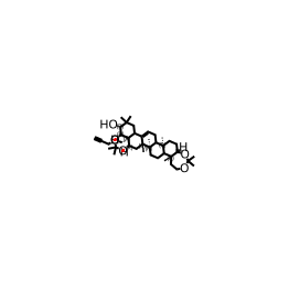 C#CCOC[C@@]12C3CC(C)(C)[C@@H](O)[C@@H]1OC(C)(C)O[C@@H]2C[C@]1(C)C3=CCC2[C@@]3(C)CC[C@@H]4OC(C)(C)OCC[C@]4(C)C3CC[C@]21C